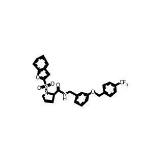 O=C(NCc1cccc(OCc2ccc(C(F)(F)F)cc2)c1)C1C=CCN1S(=O)(=O)c1cc2ccccc2o1